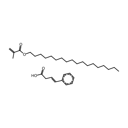 C=C(C)C(=O)OCCCCCCCCCCCCCCCCCC.O=C(O)CC=Cc1ccccc1